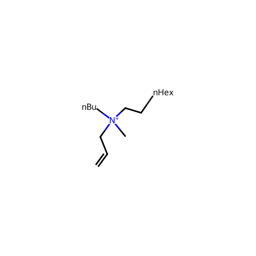 C=CC[N+](C)(CCCC)CCCCCCCC